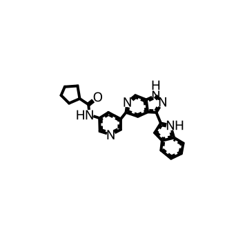 O=C(Nc1cncc(-c2cc3c(-c4cc5ccccc5[nH]4)n[nH]c3cn2)c1)C1CCCC1